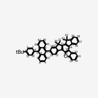 CC(C)(C)c1ccc(-c2c3ccccc3c(-c3ccc4c(c3)C(C)(C)c3c5c(c6c(oc7ccccc76)c3-4)-c3ccccc3C5(C)C)c3ccccc23)cc1